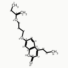 C=C(CC)OCCCOc1ccc2c(CCC)cc(=O)oc2c1